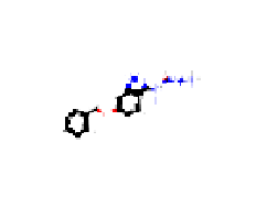 CCCCNC(=O)Nc1n[nH]c2cc(OCc3ccccc3)ccc12